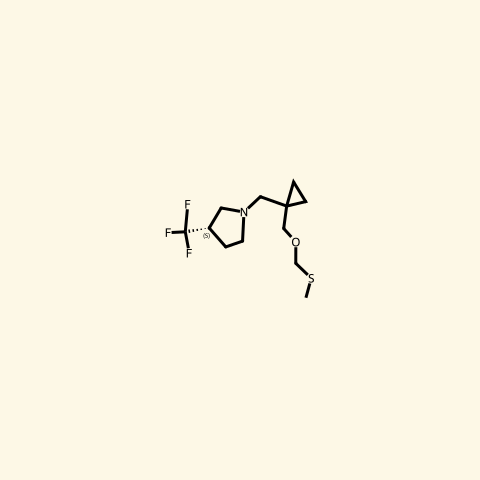 CSCOCC1(CN2CC[C@H](C(F)(F)F)C2)CC1